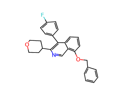 Fc1ccc(-c2c(C3CCOCC3)ncc3c(OCc4ccccc4)cccc23)cc1